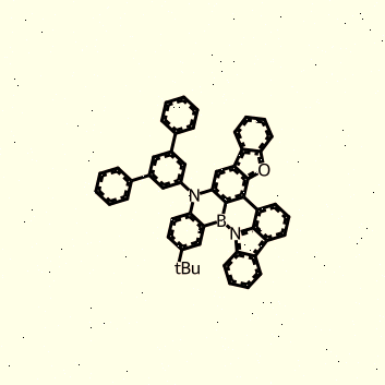 CC(C)(C)c1ccc2c(c1)B1c3c(cc4c(oc5ccccc54)c3-c3cccc4c5ccccc5n1c34)N2c1cc(-c2ccccc2)cc(-c2ccccc2)c1